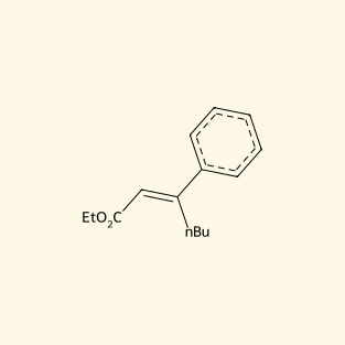 CCCC/C(=C\C(=O)OCC)c1ccccc1